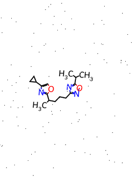 CC(C)c1nc(CCCC(C)c2nc(C3CC3)co2)no1